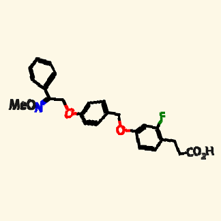 CON=C(COc1ccc(COc2ccc(CCC(=O)O)c(F)c2)cc1)c1ccccc1